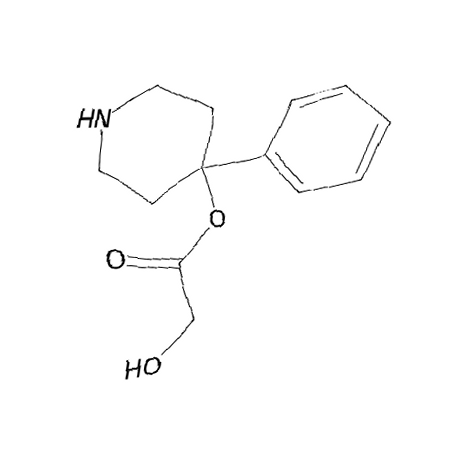 O=C(CO)OC1(c2ccccc2)CCNCC1